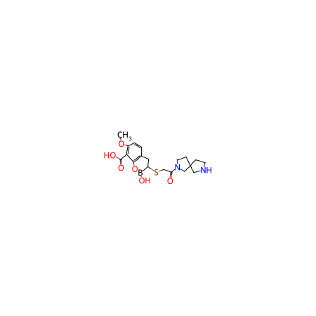 COc1ccc2c(c1C(=O)O)OB(O)C(SCC(=O)N1CCC3(CCNC3)C1)C2